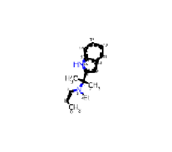 C/C=C\N(CC)C(C)(C)c1cc2ccccc2[nH]1